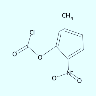 C.O=C(Cl)Oc1ccccc1[N+](=O)[O-]